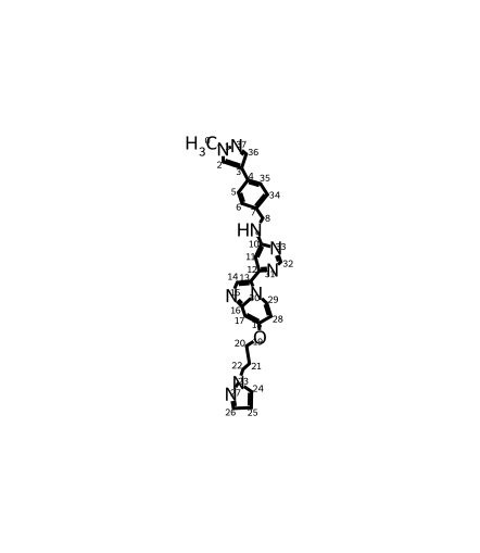 Cn1cc(-c2ccc(CNc3cc(-c4cnc5cc(OCCCn6cccn6)ccn45)ncn3)cc2)cn1